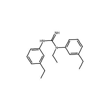 CCc1cccc(NC(=N)N(CC)c2cccc(CC)c2)c1